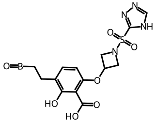 O=BCCc1ccc(OC2CN(S(=O)(=O)c3nnc[nH]3)C2)c(C(=O)O)c1O